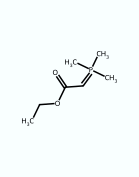 CCOC(=O)C=P(C)(C)C